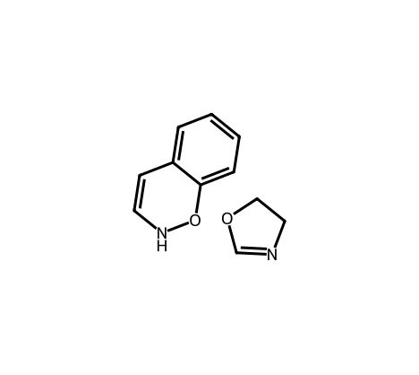 C1=Cc2ccccc2ON1.C1=NCCO1